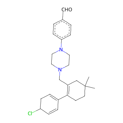 CC1(C)CCC(C2=CCC(Cl)C=C2)=C(CN2CCN(c3ccc(C=O)cc3)CC2)C1